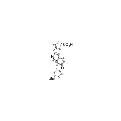 CC(C)(C)[C@H]1CC[C@H](Oc2ccc3cc(CN4CCC(C(=O)O)C4)ncc3c2)CC1